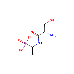 C[C@H](NC(=O)[C@@H](N)CO)P(=O)(O)O